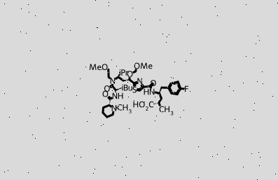 CC[C@H](C)[C@H](NC(=O)[C@H]1CCCCN1C)C(=O)N(CCOC)[C@H](C[C@@H](OCOC)c1nc(C(=O)N[C@@H](Cc2ccc(F)cc2)C[C@H](C)C(=O)O)cs1)C(C)C